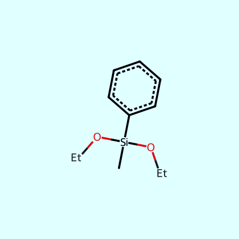 CCO[Si](C)(OCC)c1ccccc1